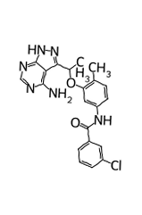 Cc1ccc(NC(=O)c2cccc(Cl)c2)cc1OC(C)c1n[nH]c2ncnc(N)c12